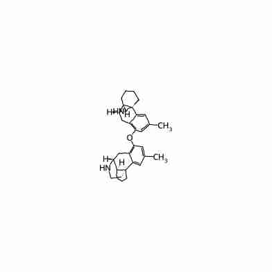 Cc1cc(Oc2cc(C)cc3c2C[C@H]2NCC[C@@]34CCCC[C@@H]24)c2c(c1)[C@@]13CCCC[C@H]1[C@@H](C2)NCC3